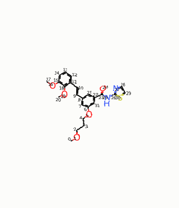 COCCCOc1cc(/C=C/c2cccc(OC)c2OC)cc(C(=O)Nc2nccs2)c1